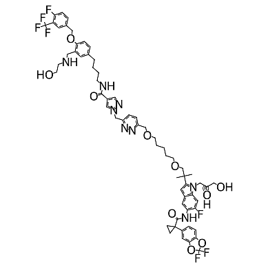 CC(C)(COCCCCCOCc1ccc(Cn2cc(C(=O)NCCCCc3ccc(OCc4ccc(F)c(C(F)(F)F)c4)c(CNCCO)c3)cn2)nn1)c1cc2cc(NC(=O)C3(c4ccc5c(c4)OC(F)(F)O5)CC3)c(F)cc2n1C[C@@H](O)CO